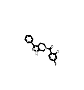 O=C(c1ccc(F)cc1Cl)N1CCc2c(-c3ccccc3)n[nH]c2C1